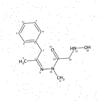 C/C(Cc1ccccc1)=N/N(C)C(=O)CNO